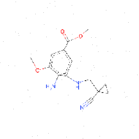 COC(=O)c1cc(NCC2(C#N)CC2)c(N)c(OC)c1